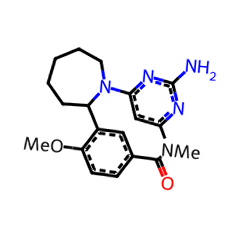 CNC(=O)c1ccc(OC)c(C2CCCCCN2c2cc(C)nc(N)n2)c1